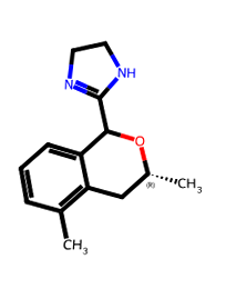 Cc1cccc2c1C[C@@H](C)OC2C1=NCCN1